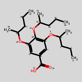 CCCC(C)Oc1cc(C(=O)O)cc(OC(C)CCC)c1OC(C)CCC